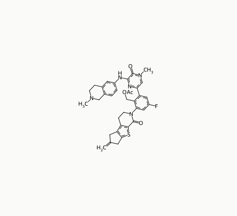 C=C1Cc2sc3c(c2C1)CCN(c1cc(F)cc(-c2cn(C)c(=O)c(Nc4ccc5c(c4)CCN(C)C5)n2)c1COC(C)=O)C3=O